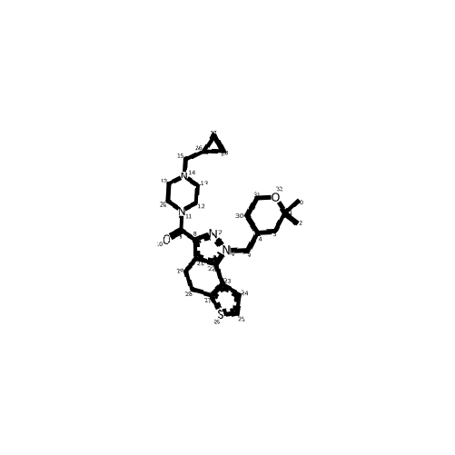 CC1(C)CC(Cn2nc(C(=O)N3CCN(CC4CC4)CC3)c3c2-c2ccsc2CC3)CCO1